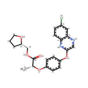 C[C@@H](Oc1ccc(Oc2cnc3cc(Cl)ccc3n2)cc1)C(=O)OC[C@@H]1CCCO1